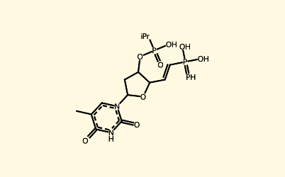 Cc1cn(C2CC(OP(=O)(O)C(C)C)C(/C=C/P(O)(O)=P)O2)c(=O)[nH]c1=O